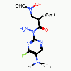 CCCCCC(CN(O)C=O)C(=O)N(N)c1ncc(N(C)CC)c(F)n1